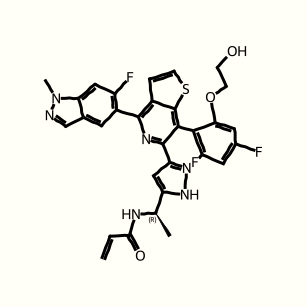 C=CC(=O)N[C@H](C)c1cc(-c2nc(-c3cc4cnn(C)c4cc3F)c3ccsc3c2-c2c(F)cc(F)cc2OCCO)n[nH]1